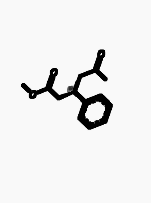 COC(=O)C[C@@H](CC(C)=O)c1ccccc1